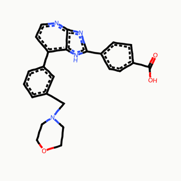 O=C(O)c1ccc(-c2nc3nccc(-c4cccc(CN5CCOCC5)c4)c3[nH]2)cc1